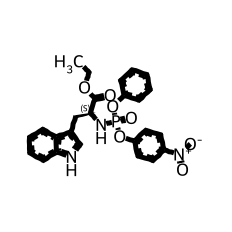 CCOC(=O)[C@H](Cc1c[nH]c2ccccc12)NP(=O)(Oc1ccccc1)Oc1ccc([N+](=O)[O-])cc1